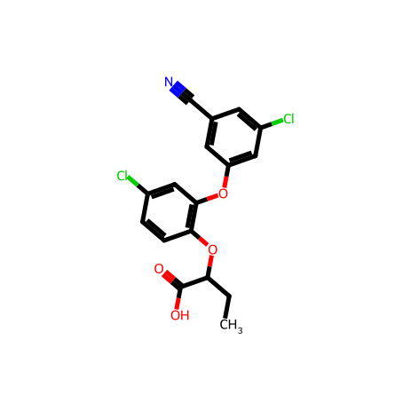 CCC(Oc1ccc(Cl)cc1Oc1cc(Cl)cc(C#N)c1)C(=O)O